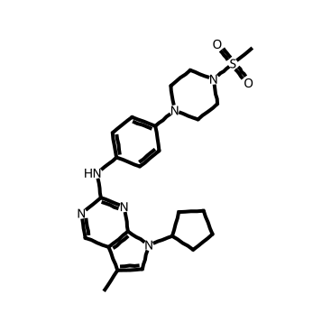 Cc1cn(C2CCCC2)c2nc(Nc3ccc(N4CCN(S(C)(=O)=O)CC4)cc3)ncc12